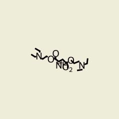 CCN(CC)CCOC(=O)C[C@H](N)C(=O)OCCN(CC)CC